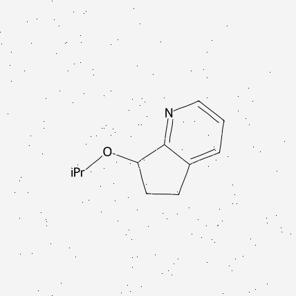 CC(C)OC1CCc2cccnc21